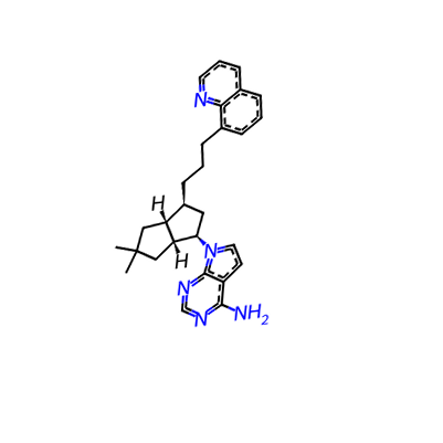 CC1(C)C[C@@H]2[C@@H](CCCc3cccc4cccnc34)C[C@@H](n3ccc4c(N)ncnc43)[C@@H]2C1